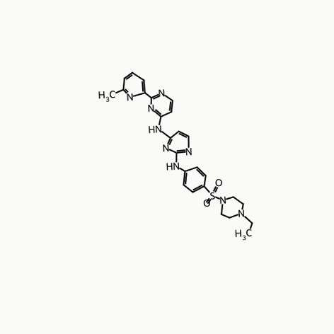 CCN1CCN(S(=O)(=O)c2ccc(Nc3nccc(Nc4ccnc(-c5cccc(C)n5)n4)n3)cc2)CC1